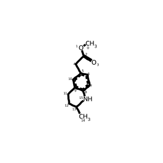 COC(=O)Cc1ccc2c(c1)CCC(C)N2